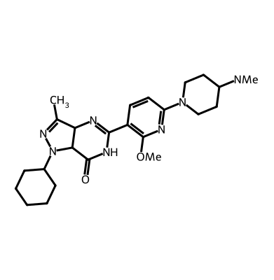 CNC1CCN(c2ccc(C3=NC4C(C)=NN(C5CCCCC5)C4C(=O)N3)c(OC)n2)CC1